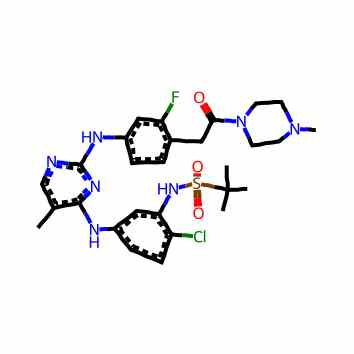 Cc1cnc(Nc2ccc(CC(=O)N3CCN(C)CC3)c(F)c2)nc1Nc1ccc(Cl)c(NS(=O)(=O)C(C)(C)C)c1